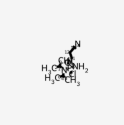 CC(C)N(C(C)C)[PH](N)(Cl)OCCC#N